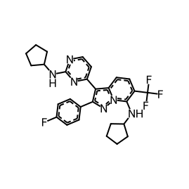 Fc1ccc(-c2nn3c(NC4CCCC4)c(C(F)(F)F)ccc3c2-c2ccnc(NC3CCCC3)n2)cc1